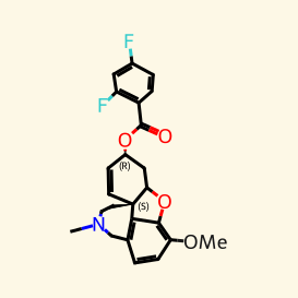 COc1ccc2c3c1OC1C[C@@H](OC(=O)c4ccc(F)cc4F)C=C[C@@]31CCN(C)C2